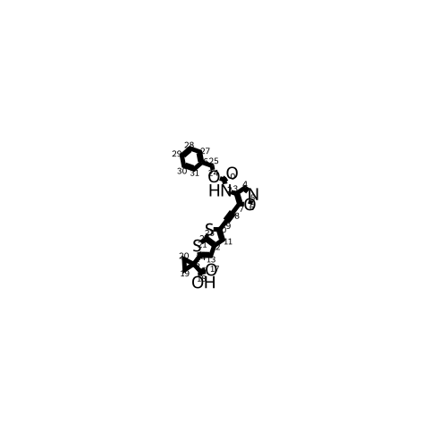 O=C(Nc1cnoc1C#Cc1cc2cc(C3(C(=O)O)CC3)sc2s1)OCc1ccccc1